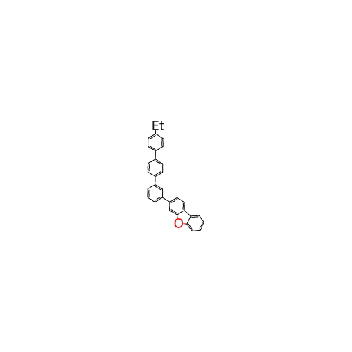 CCc1ccc(-c2ccc(-c3cccc(-c4ccc5c(c4)oc4ccccc45)c3)cc2)cc1